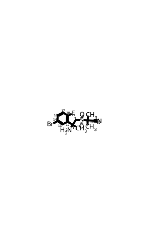 CC(N)(CS(=O)(=O)C(C)(C)C#N)c1cc(Br)ccc1F